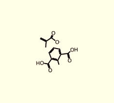 C=C(C)C([O])=O.Cc1c(C(=O)O)cccc1C(=O)O